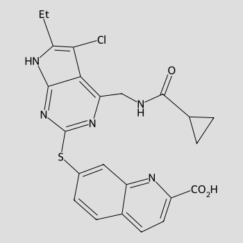 CCc1[nH]c2nc(Sc3ccc4ccc(C(=O)O)nc4c3)nc(CNC(=O)C3CC3)c2c1Cl